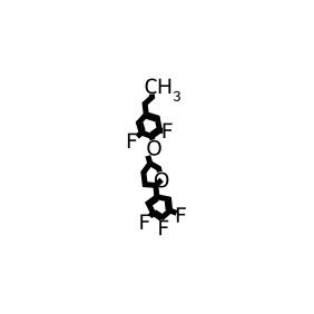 CCCc1cc(F)c(OCC2CCC(c3cc(F)c(F)c(F)c3)OC2)c(F)c1